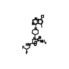 Cc1cc(Cl)n2ncnc(N3CCC(N(CC(=O)NCC(F)F)S(N)(=O)=O)CC3)c12